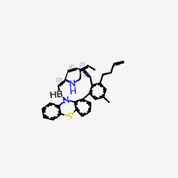 C=CCCc1cc(C)cc2c1\C=C/C=C\C(NC/C=C\C)=C\BN1c3ccccc3Sc3cccc-2c31